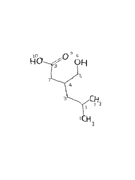 CC(C)CC(CO)CC(=O)O